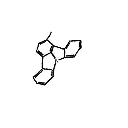 Cc1ccc2c3ccccc3n3c4ccccc4c1c23